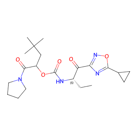 CC[C@H](NC(=O)OC(CC(C)(C)C)C(=O)N1CCCC1)C(=O)c1noc(C2CC2)n1